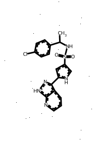 CC(NS(=O)(=O)c1c[nH]c(-c2n[nH]c3ncccc23)c1)c1ccc(Cl)cc1